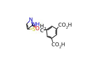 Cc1cc(C(=O)O)cc(C(=O)O)c1.O=C1C2=CN1NS2